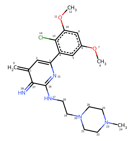 C=C1C=C(c2cc(OC)cc(OC)c2Cl)N=C(NCCN2CCN(C)CC2)C1=N